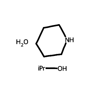 C1CCNCC1.CC(C)O.O